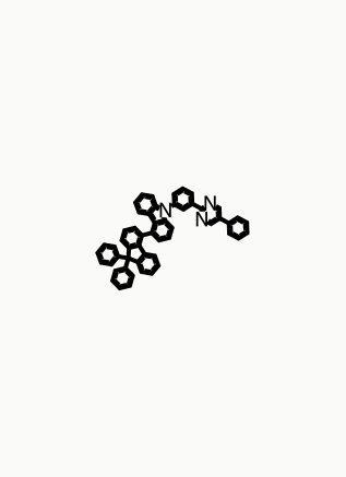 c1ccc(-c2cnc(-c3cccc(-n4c5ccccc5c5c(-c6cccc7c6-c6ccccc6C7(c6ccccc6)c6ccccc6)cccc54)c3)nc2)cc1